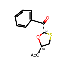 CC(=O)O[C@@H]1CS[C@@H](C(=O)c2ccccc2)O1